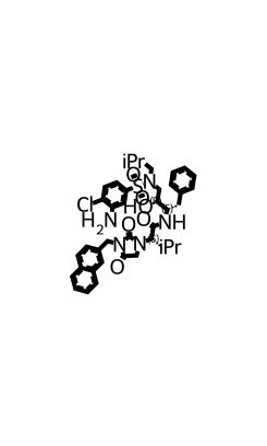 CC(C)CN(C[C@@H](O)[C@H](Cc1ccccc1)NC(=O)[C@H](C(C)C)N1CC(=O)N(Cc2ccc3ccccc3c2)C1=O)S(=O)(=O)c1ccc(Cl)c(N)c1